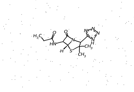 CCC(=O)NC1C(=O)N2C(c3nnn[nH]3)C(C)(C)S[C@H]12